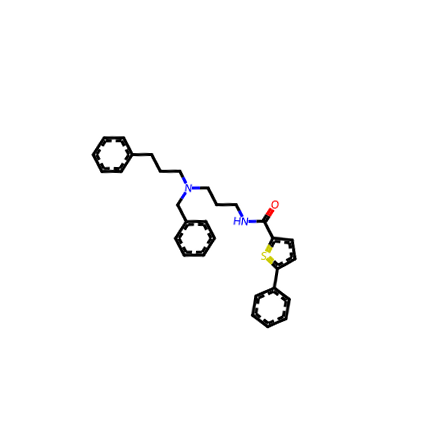 O=C(NCCCN(CCCc1ccccc1)Cc1ccccc1)c1ccc(-c2ccccc2)s1